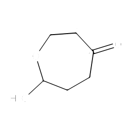 CC1CCC(=O)CCO1